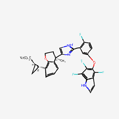 CCOC(=O)[C@@H]1C[C@H]1c1cccc2c1OCC[C@@]2(C)c1c[nH]c(-c2cc(Oc3c(F)c(F)c4[nH]ccc4c3F)ccc2F)n1